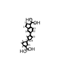 OC(O)c1cccc(C2=CC(c3ccc4c(c3)C=CC4C(O)O)=CC2)c1